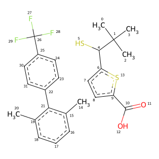 CC(C)(C)C(S)c1ccc(C(=O)O)s1.Cc1cccc(C)c1-c1ccc(C(F)(F)F)cc1